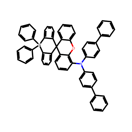 c1ccc(-c2ccc(N(c3ccc(-c4ccccc4)cc3)c3cccc4c3Oc3ccccc3C43c4ccccc4[Si](c4ccccc4)(c4ccccc4)c4ccccc43)cc2)cc1